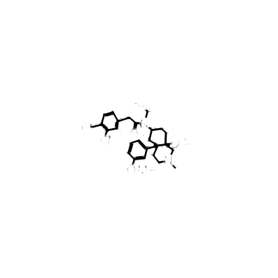 COc1cccc(C23CCN(C)CC2(OC(C)=O)CCC(N(CC(C)C)C(=O)Cc2ccc(Cl)c(Cl)c2)C3)c1